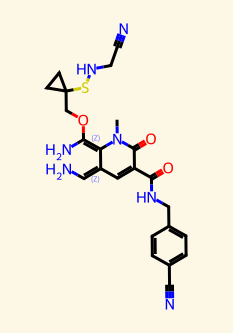 Cn1c(=O)c(C(=O)NCc2ccc(C#N)cc2)cc(=C/N)/c1=C(\N)OCC1(SNCC#N)CC1